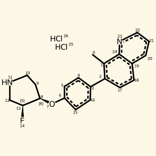 Cc1c(-c2ccc(O[C@@H]3CCNC[C@@H]3F)cc2)ccc2cccnc12.Cl.Cl